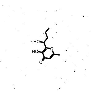 CCCC(O)c1oc(C)cc(=O)c1O